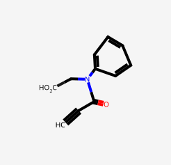 C#CC(=O)N(CC(=O)O)c1ccccc1